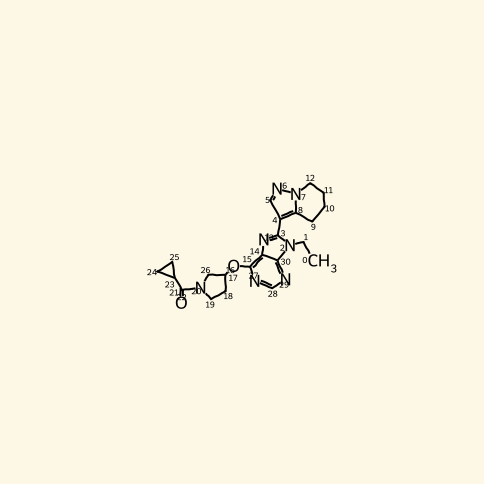 CCn1c(-c2cnn3c2CCCC3)nc2c(OC3CCN(C(=O)C4CC4)C3)ncnc21